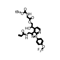 C=CC(=O)NCc1nn(-c2ccc(OC(F)(F)F)cc2)c2nccc(C(O)COC(=O)CNC(=O)OC(C)(C)C)c12